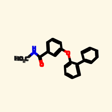 CCOC(=O)NC(=O)c1cccc(Oc2ccccc2-c2ccccc2)c1